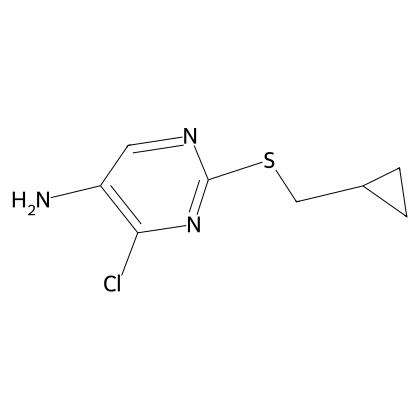 Nc1cnc(SCC2CC2)nc1Cl